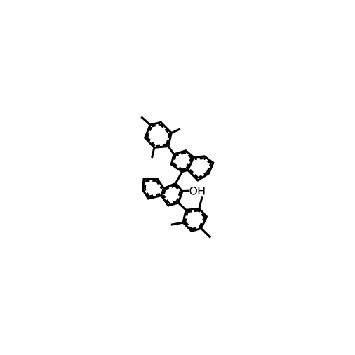 Cc1cc(C)c(-c2cc(-c3c(O)c(-c4c(C)cc(C)cc4C)cc4ccccc34)c3ccccc3c2)c(C)c1